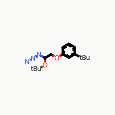 CC(C)(C)OC(COc1cccc(C(C)(C)C)c1)N=[N+]=[N-]